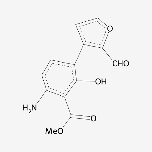 COC(=O)c1c(N)ccc(-c2ccoc2C=O)c1O